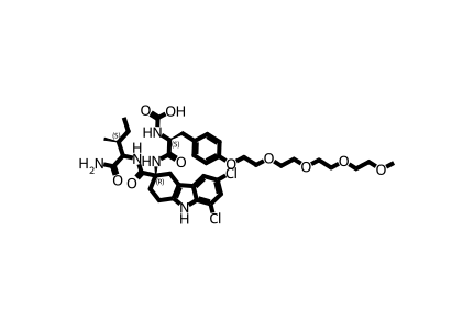 CC[C@H](C)C(NC(=O)[C@@]1(NC(=O)[C@H](Cc2ccc(OCCOCCOCCOCCOC)cc2)NC(=O)O)CCc2[nH]c3c(Cl)cc(Cl)cc3c2C1)C(N)=O